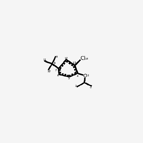 CC(C)Oc1ccc(C(C)(C)C)cc1Cl